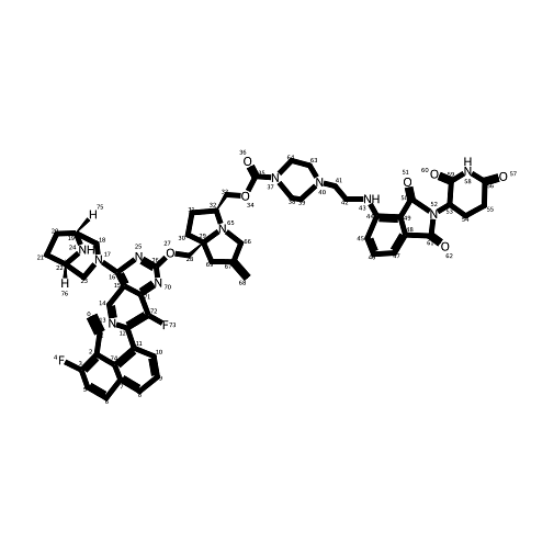 C#Cc1c(F)ccc2cccc(-c3ncc4c(N5C[C@H]6CC[C@@H](C5)N6)nc(OC[C@@]56CC[C@@H](COC(=O)N7CCN(CCNc8cccc9c8C(=O)N(C8CCC(=O)NC8=O)C9=O)CC7)N5CC(=C)C6)nc4c3F)c12